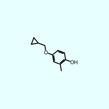 Cc1cc(OCC2CC2)ccc1O